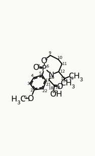 COc1ccc(P2(=O)OCCCC(C(C)C)N2CC(=O)O)cc1